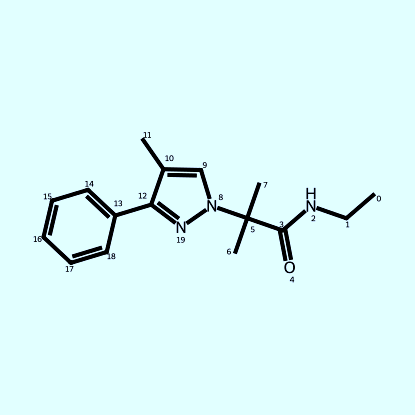 CCNC(=O)C(C)(C)n1cc(C)c(-c2ccccc2)n1